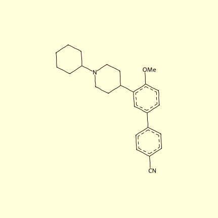 COc1ccc(-c2ccc(C#N)cc2)cc1C1CCN(C2CCCCC2)CC1